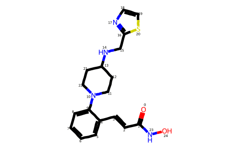 O=C(C=Cc1ccccc1N1CCC(NCc2nccs2)CC1)NO